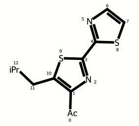 CC(=O)c1nc(-c2nccs2)sc1CC(C)C